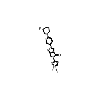 Cn1ccc(N2Cc3nn(-c4ccc(N5CCC[C@@H](F)C5)nc4)cc3C2=O)n1